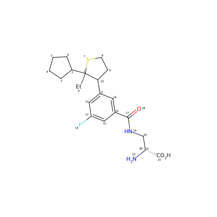 CCC1(C2CCCC2)SCCC1c1cc(F)cc(C(=O)NC[C@@H](N)C(=O)O)c1